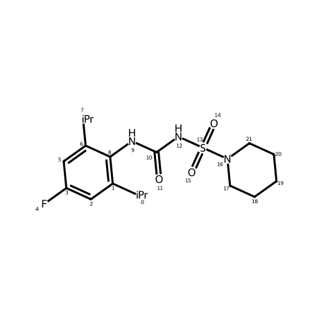 CC(C)c1cc(F)cc(C(C)C)c1NC(=O)NS(=O)(=O)N1CCCCC1